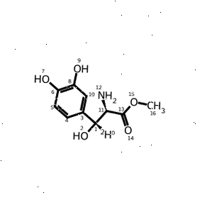 [2H][C@@](O)(c1ccc(O)c(O)c1)[C@@H](N)C(=O)OC